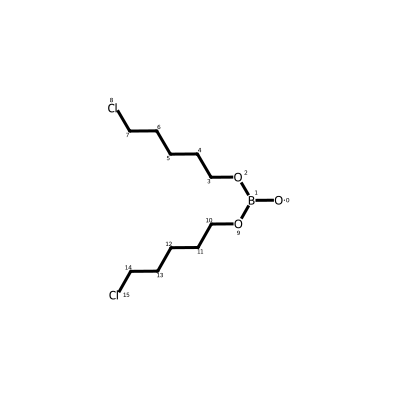 [O]B(OCCCCCCl)OCCCCCCl